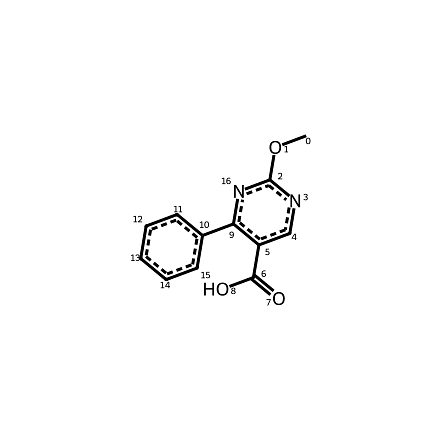 COc1ncc(C(=O)O)c(-c2ccccc2)n1